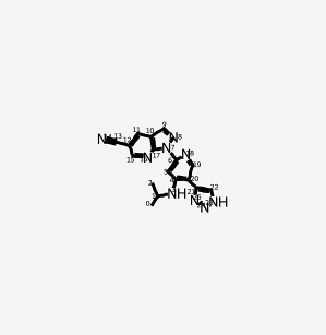 CC(C)Nc1cc(-n2ncc3cc(C#N)cnc32)ncc1-c1c[nH]nn1